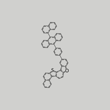 c1ccc2c(-c3c4ccccc4c(-c4ccc(-c5ccc6oc7ccc8c(sc9ccc%10ccccc%10c98)c7c6c5)cc4)c4ccccc34)cccc2c1